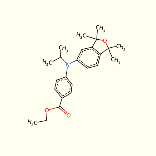 CCOC(=O)c1ccc(N(c2ccc3c(c2)C(C)(C)OC3(C)C)C(C)C)cc1